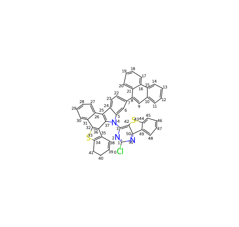 Clc1nc(-n2c3cc(-c4cc5ccccc5c5ccccc45)ccc3c3c4ccccc4c4sc5c(c4c32)C=CCC5)c2sc3ccccc3c2n1